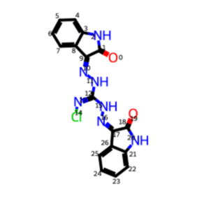 O=C1Nc2ccccc2/C1=N/NC(=NCl)N/N=C1\C(=O)Nc2ccccc21